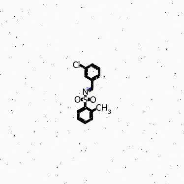 Cc1ccccc1S(=O)(=O)/N=C/c1cccc(Cl)c1